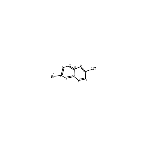 Clc1ccc2cc(Br)ccc2c1